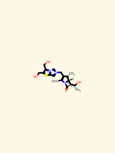 C[C@@H](O)[C@H]1C(=O)N2C(C(=O)[O-])=C(Cn3cc4sc(CO)c(CO)[n+]4c3)[C@H](C)[C@H]12